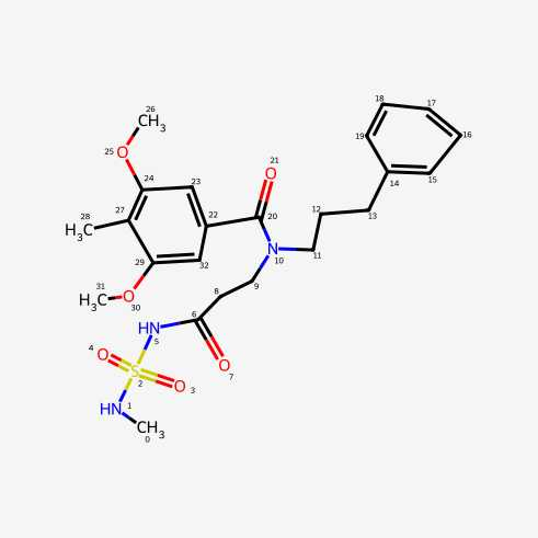 CNS(=O)(=O)NC(=O)CCN(CCCc1ccccc1)C(=O)c1cc(OC)c(C)c(OC)c1